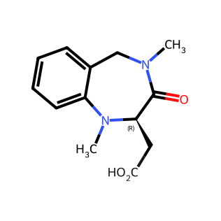 CN1Cc2ccccc2N(C)[C@H](CC(=O)O)C1=O